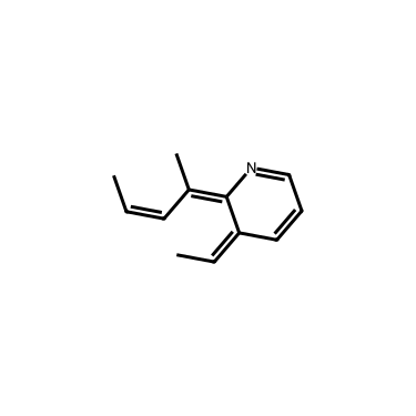 C\C=C/C(C)=c1/nccc/c1=C/C